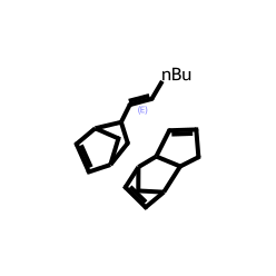 C1=CC2C3C=CC(C3)C2C1.CCCC/C=C/C1CC2C=CC1C2